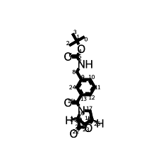 CC(C)(C)OC(=O)NCc1cccc(C(=O)N2C[C@H]3C[C@@H]2C(=O)O3)c1